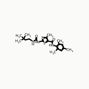 Cc1cc(C)c(NC(=O)c2sc(NC(=O)NCCC(C)(C)C)nc2C)c(C)c1